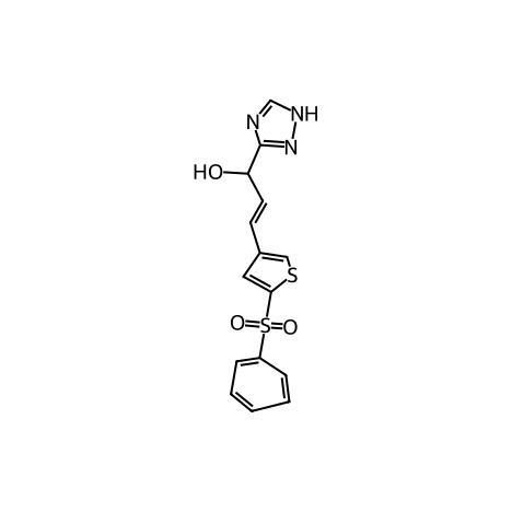 O=S(=O)(c1ccccc1)c1cc(C=CC(O)c2nc[nH]n2)cs1